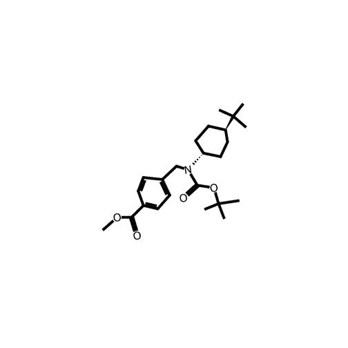 COC(=O)c1ccc(CN(C(=O)OC(C)(C)C)[C@H]2CC[C@H](C(C)(C)C)CC2)cc1